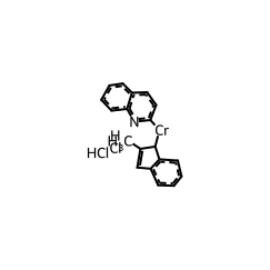 CC1=Cc2ccccc2[CH]1[Cr][c]1ccc2ccccc2n1.Cl.Cl